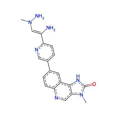 CN(N)/C=C(\N)c1ccc(-c2ccc3ncc4c([nH]c(=O)n4C)c3c2)cn1